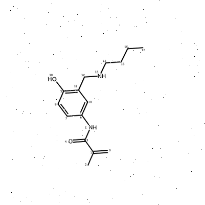 C=C(C)C(=O)Nc1ccc(O)c(CNCCCC)c1